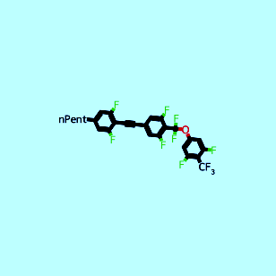 CCCCCc1cc(F)c(C#Cc2cc(F)c(C(F)(F)Oc3cc(F)c(C(F)(F)F)c(F)c3)c(F)c2)c(F)c1